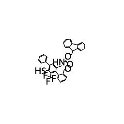 O=Cc1ccccc1-c1c(CNC(=O)OCC2c3ccccc3-c3ccccc32)cc(-c2ccccc2)c(S)c1C(F)(F)F